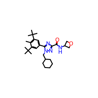 Cc1c(C(C)(C)C)cc(-c2nc(C(=O)NC3COC3)nn2CC2CCCCC2)cc1C(C)(C)C